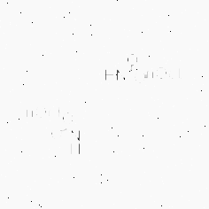 CCCCCCCCOC(=O)NC1CCC(CC2CCC(NC(=O)OCCCCCCCC)CC2)CC1